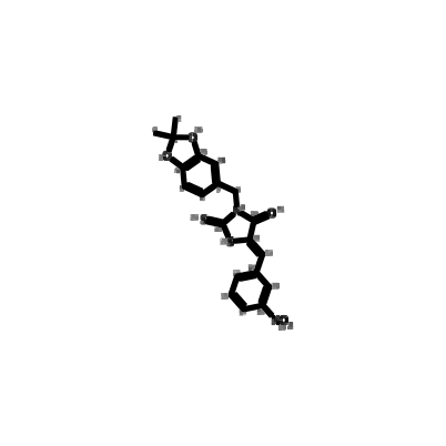 CC1(C)Oc2ccc(CN3C(=O)C(=Cc4cccc([N+](=O)[O-])c4)SC3=S)cc2O1